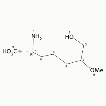 COC(CO)CCC[C@@H](N)C(=O)O